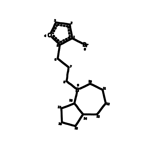 Brc1ccoc1CCCB1CCCCC2CCCC12